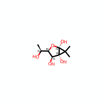 C[C@H](O)[C@H]1O[C@@]2(O)C(C)(C)[C@@]2(O)[C@H]1O